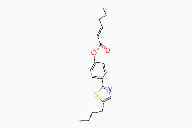 CCCC=CC(=O)Oc1ccc(-c2ncc(CCCC)s2)cc1